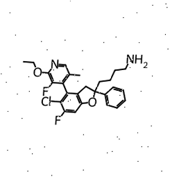 CCOc1ncc(C)c(-c2c(Cl)c(F)cc3c2CC(CCCCN)(c2ccccc2)O3)c1F